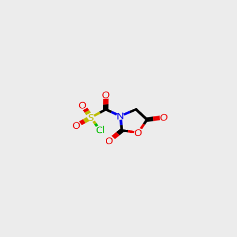 O=C1CN(C(=O)S(=O)(=O)Cl)C(=O)O1